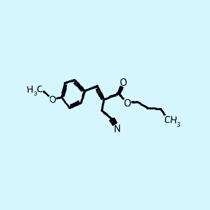 CCCCOC(=O)/C(=C/c1ccc(OC)cc1)CC#N